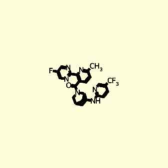 Cc1ccc(C(=O)N2CC3CCC2C(Nc2ccc(C(F)(F)F)cn2)C3)c(-c2ncc(F)cn2)n1